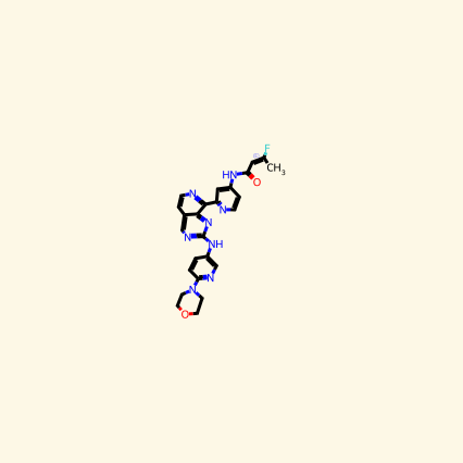 C/C(F)=C\C(=O)Nc1ccnc(-c2nccc3cnc(Nc4ccc(N5CCOCC5)nc4)nc23)c1